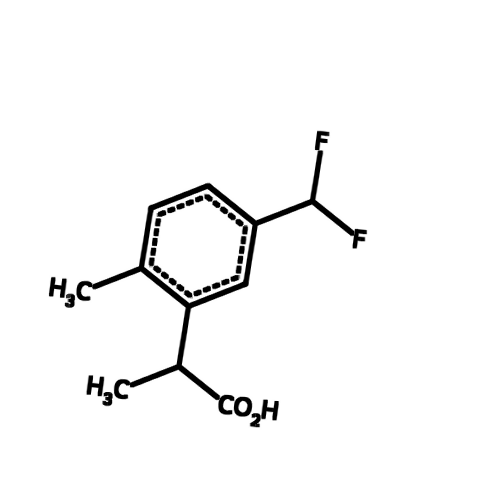 Cc1ccc(C(F)F)cc1C(C)C(=O)O